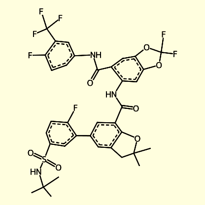 CC(C)(C)NS(=O)(=O)c1ccc(F)c(-c2cc3c(c(C(=O)Nc4cc5c(cc4C(=O)Nc4ccc(F)c(C(F)(F)F)c4)OC(F)(F)O5)c2)OC(C)(C)C3)c1